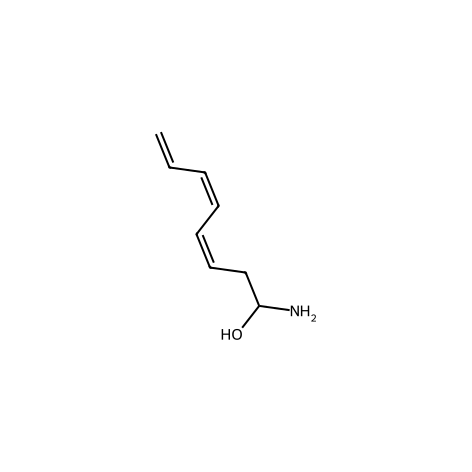 C=C/C=C\C=C/CC(N)O